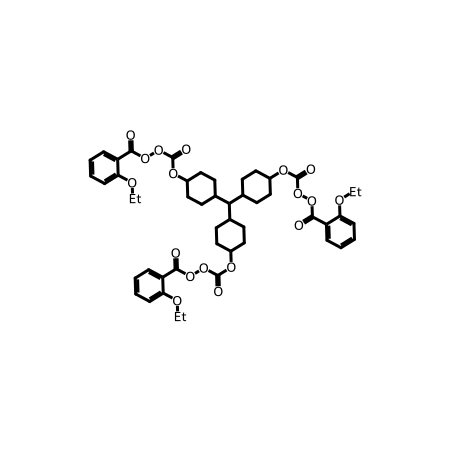 CCOc1ccccc1C(=O)OOC(=O)OC1CCC(C(C2CCC(OC(=O)OOC(=O)c3ccccc3OCC)CC2)C2CCC(OC(=O)OOC(=O)c3ccccc3OCC)CC2)CC1